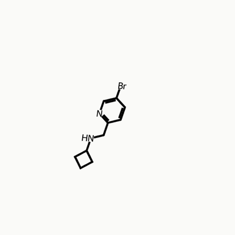 Brc1ccc(CNC2CCC2)nc1